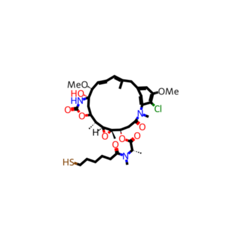 COc1cc2cc(c1Cl)N(C)C(=O)C[C@H](OC(=O)[C@H](C)N(C)C(=O)CCCCCS)[C@]1(C)O[C@H]1[C@H](C)C1C[C@@](O)(NC(=O)O1)[C@H](OC)/C=C/C=C(\C)C2